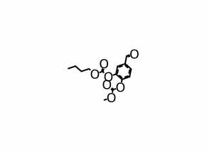 CCCCOC(=O)Oc1cc(C=O)ccc1OC(=O)OC